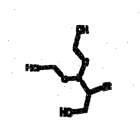 CCC(CO)B(OCO)OCO